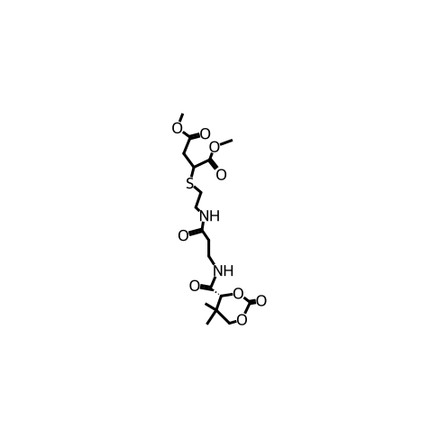 COC(=O)CC(SCCNC(=O)CCNC(=O)[C@@H]1OC(=O)OCC1(C)C)C(=O)OC